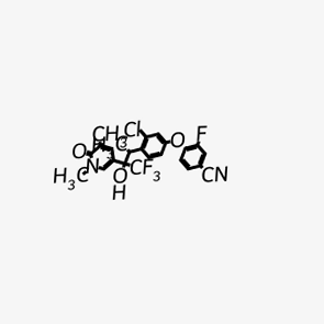 Cc1cc(C(O)(C(C)c2ccc(Oc3ccc(C#N)cc3F)cc2Cl)C(F)(F)F)cn(C)c1=O